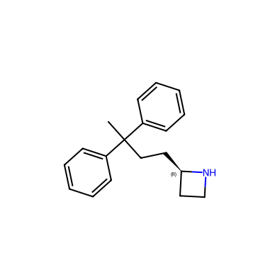 CC(CC[C@@H]1CCN1)(c1ccccc1)c1ccccc1